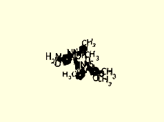 CCn1nc(C)cc1C(O)Nc1nc2cc(C(N)=O)ccc2n1CCCCn1c(NC(=O)c2cc3cc(OC)c(OC)cc3s2)nc2cccc(C)c21